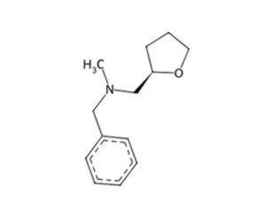 CN(Cc1ccccc1)C[C@H]1CCCO1